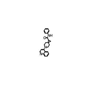 O=C(Nc1ccccc1)C1CC12CCN(c1ccnc3ccccc13)CC2